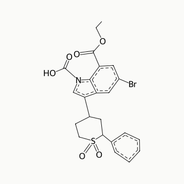 CCOC(=O)c1cc(Br)cc2c(C3CCS(=O)(=O)C(c4ccccc4)C3)cn(C(=O)O)c12